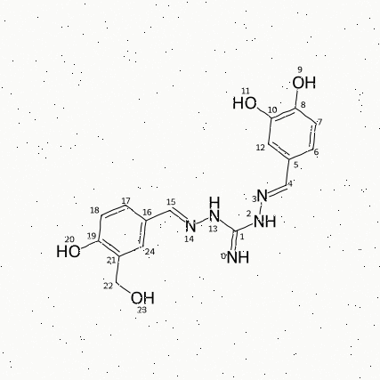 N=C(N/N=C/c1ccc(O)c(O)c1)N/N=C/c1ccc(O)c(CO)c1